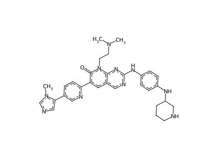 CN(C)CCn1c(=O)c(-c2ccc(-c3cncn3C)cn2)cc2cnc(Nc3ccc(NC4CCCNC4)cc3)nc21